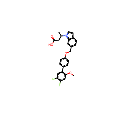 COc1cc(F)c(F)cc1-c1ccc(OCc2ccc3ccn(C(C)CC(=O)O)c3c2)cc1